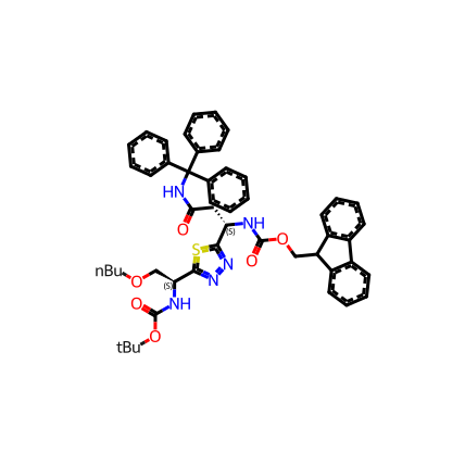 CCCCOC[C@H](NC(=O)OC(C)(C)C)c1nnc([C@H](CC(=O)NC(c2ccccc2)(c2ccccc2)c2ccccc2)NC(=O)OCC2c3ccccc3-c3ccccc32)s1